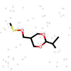 CSOCC1COC(C(C)C)OC1